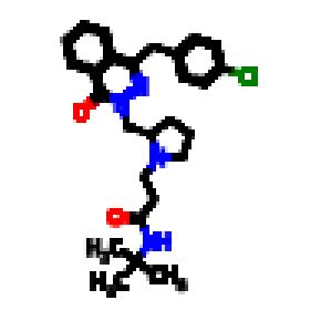 CC(C)(C)NC(=O)CCN1CCC[C@@H]1Cn1nc(Cc2ccc(Cl)cc2)c2ccccc2c1=O